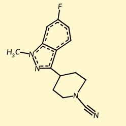 Cn1nc(C2CCN(C#N)CC2)c2ccc(F)cc21